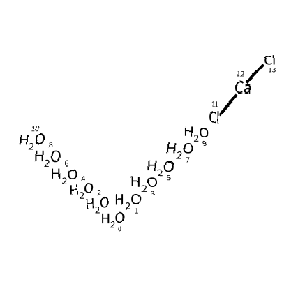 O.O.O.O.O.O.O.O.O.O.O.[Cl][Ca][Cl]